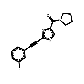 O=C(c1cnc(C#Cc2cccc(F)c2)s1)N1CCCC1